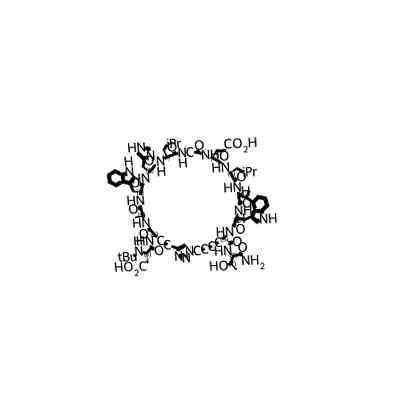 CC(C)C[C@@H]1NC(=O)[C@H](Cc2c[nH]cn2)NC(=O)[C@H](Cc2c[nH]c3ccccc23)NC(=O)[C@H](C)NC(=O)[C@@H](NC(=O)[C@H](CC(=O)O)NC(C)(C)C)CCc2cn(nn2)CCCC[C@@H](C(=O)N[C@H](C(N)=O)[C@@H](C)O)NC(=O)[C@@H]2Cc3c[nH]c4cccc(c34)C(C)[C@H](NC(=O)[C@H](CC(C)C)NC(=O)[C@H](CCC(=O)O)NC(=O)CNC1=O)C(=O)N2